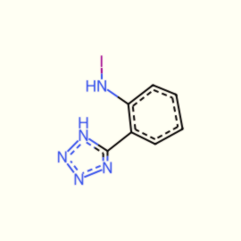 INc1ccccc1-c1nnn[nH]1